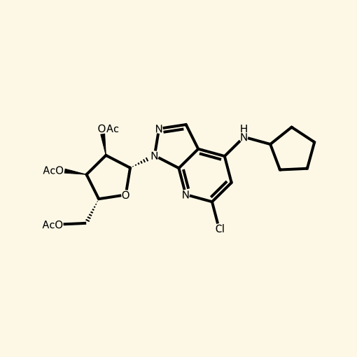 CC(=O)OC[C@H]1O[C@@H](n2ncc3c(NC4CCCC4)cc(Cl)nc32)[C@H](OC(C)=O)[C@@H]1OC(C)=O